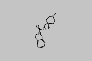 CN1CCC(F)(COC(=O)N2CCc3ccccc3C2)CC1